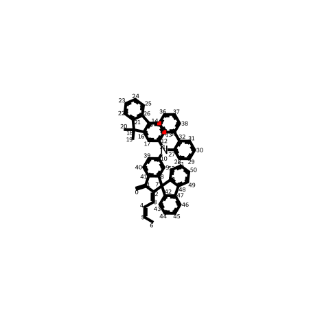 C=C1/C(=C\C=C/C)C2(c3cc(N(c4ccc5c(c4)C(C)(C)c4ccccc4-5)c4ccccc4-c4ccccc4)ccc31)c1ccccc1-c1ccccc12